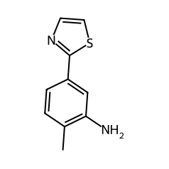 Cc1ccc(-c2nccs2)cc1N